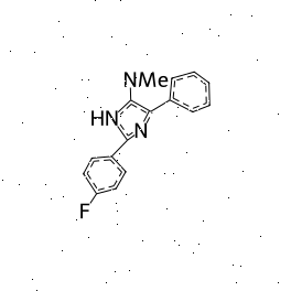 CNc1[nH]c(-c2ccc(F)cc2)nc1-c1ccccc1